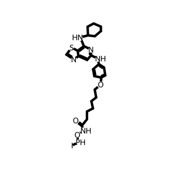 O=C(CCCCCCOc1ccc(Nc2cc3ncsc3c(NC3CCCCC3)n2)cc1)NOPI